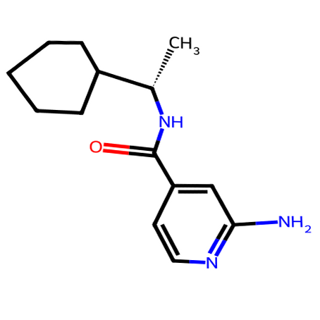 C[C@H](NC(=O)c1ccnc(N)c1)C1CCCCC1